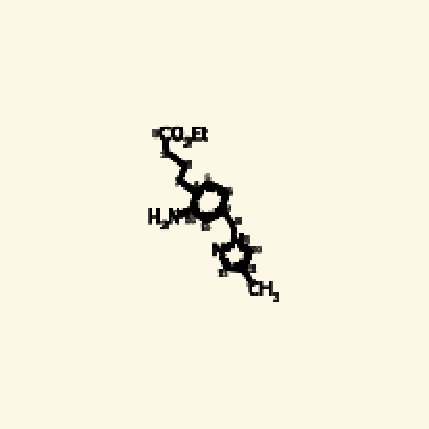 CCOC(=O)CCCc1ccc(Cn2cc(C)cn2)cc1N